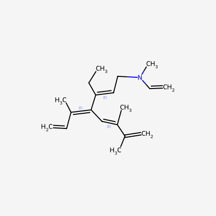 C=C/C(C)=C(\C=C(/C)C(=C)C)C(=C/CN(C)C=C)/CC